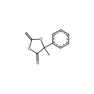 C=C1OC(=O)C(C)(c2ccccc2)O1